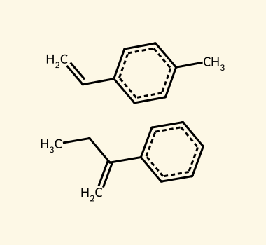 C=C(CC)c1ccccc1.C=Cc1ccc(C)cc1